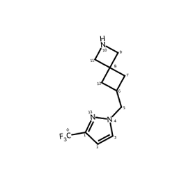 FC(F)(F)c1ccn(CC2CC3(CNC3)C2)n1